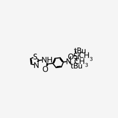 CC(C)(C)N(O[Si](C)(C)C(C)(C)C)c1ccc(C(=O)Nc2nccs2)cc1